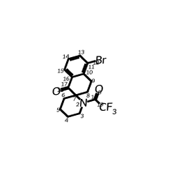 O=C(N1CCCCC12CCc1c(Br)cccc1C2=O)C(F)(F)F